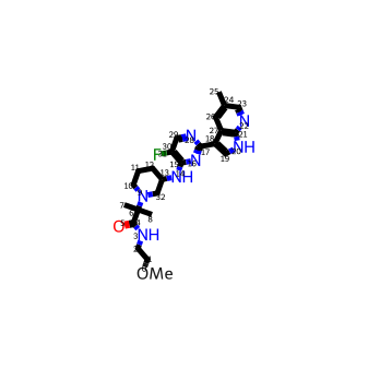 COCCNC(=O)C(C)(C)N1CCCC(Nc2nc(-c3c[nH]c4ncc(C)cc34)ncc2F)C1